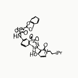 CC(C)CCn1ccc(O)c(C2=NS(=O)(=O)c3cc(NS(=O)(=O)NC(=O)OCc4ccccc4)ccc3N2)c1=O